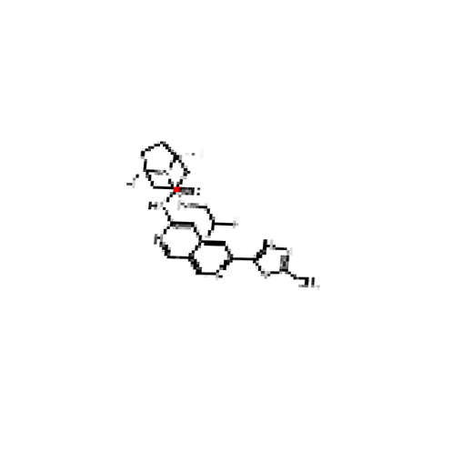 Cc1nnc(-c2cc3cc(NC(=O)N4[C@@H]5CC[C@H]4C[C@H](NCC(F)F)C5)ncc3cn2)s1